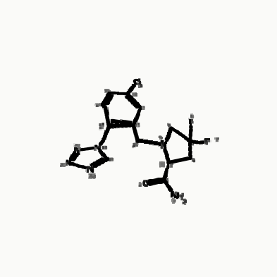 NC(=O)[C@@H]1CC(F)(F)CN1Cc1cc(Cl)ccc1-n1cnnn1